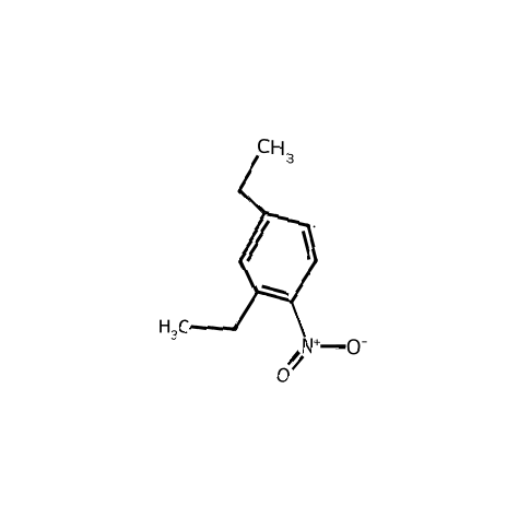 CCc1[c]cc([N+](=O)[O-])c(CC)c1